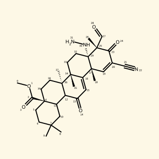 COC(=O)[C@]12CCC(C)(C)CC1C1C(=O)C=C3[C@@]4(C)C=C(C#N)C(=O)[C@@](C)(C=O)[C@]4(NN)CC[C@@]3(C)[C@]1(C)CC2